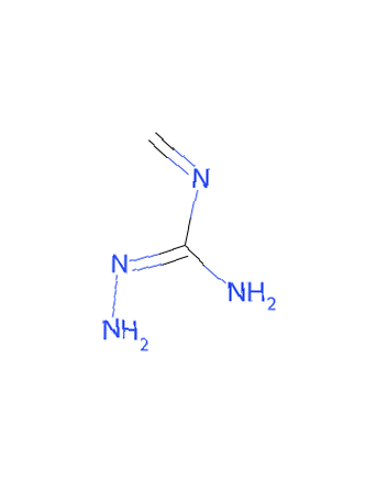 C=NC(N)=NN